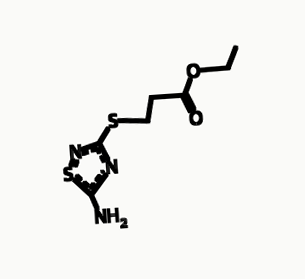 CCOC(=O)CCSc1nsc(N)n1